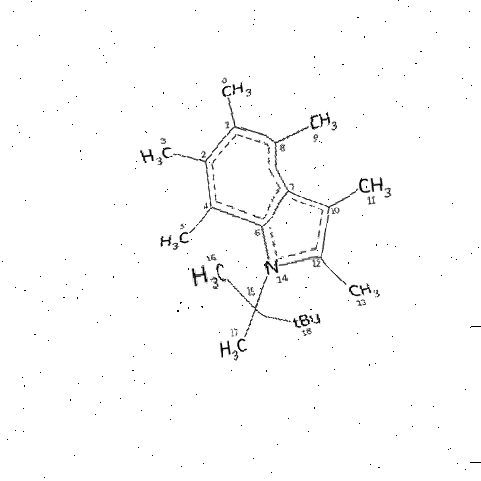 Cc1c(C)c(C)c2c(c1C)c(C)c(C)n2C(C)(C)C(C)(C)C